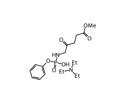 CCN(CC)CC.COC(=O)CCC(=O)CNP(=O)(O)Oc1ccccc1